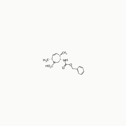 C[C@@H]1C=C[C@@H](C)N(C(=O)O)C[C@H]1NC(=O)OCc1ccccc1